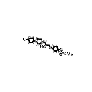 CO[SH](=O)=Nc1ccc(OCC(O)CN2CCN(c3ccc(Cl)cc3)CC2)cc1